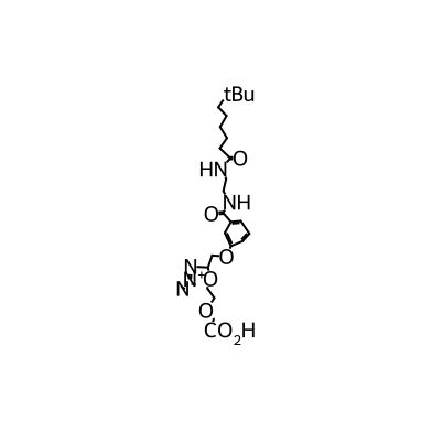 CC(C)(C)CCCCCC(=O)NCCNC(=O)c1cccc(OCC(N=[N+]=[N-])OCCOCC(=O)O)c1